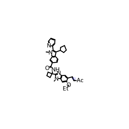 CCOc1cc2c(cc1/C=C/C(C)=O)nc(C1(NC(=O)c3ccc4c(C5CCCC5)c(-c5ccccn5)n(C)c4c3)CCC1)n2C